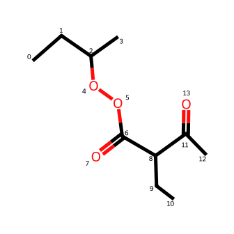 CCC(C)OOC(=O)C(CC)C(C)=O